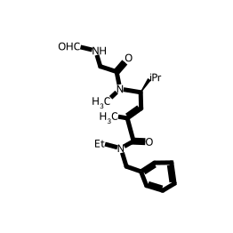 CCN(Cc1ccccc1)C(=O)/C(C)=C/[C@H](C(C)C)N(C)C(=O)CNC=O